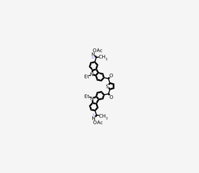 CCn1c2ccc(C(=O)c3ccc(C(=O)c4ccc5c(c4)c4cc(/C(C)=N/OC(C)=O)ccc4n5CC)s3)cc2c2cc(/C(C)=N/OC(C)=O)ccc21